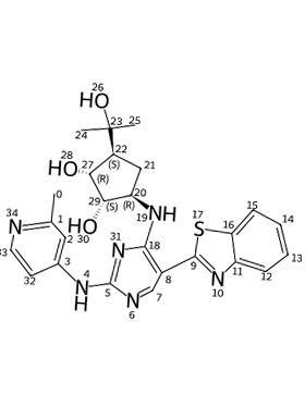 Cc1cc(Nc2ncc(-c3nc4ccccc4s3)c(N[C@@H]3C[C@H](C(C)(C)O)[C@@H](O)[C@H]3O)n2)ccn1